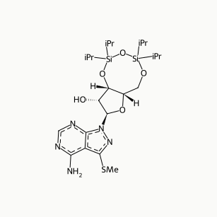 CSc1nn([C@@H]2O[C@H]3CO[Si](C(C)C)(C(C)C)O[Si](C(C)C)(C(C)C)O[C@H]3[C@H]2O)c2ncnc(N)c12